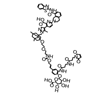 Cc1c(-c2ccc(N3CCc4cccc(C(=O)Nc5nc6ccccc6s5)c4C3)nc2C(=O)O)cnn1CC12CC3(C)CC(C)(C1)CC(OCCOCCNC(=O)OC/C=C/c1ccc(O[C@@H]4O[C@H](C(=O)O)[C@@H](O)[C@H](O)[C@H]4O)c(NC(=O)CCNC(=O)CCN4C(=O)C=CC4=O)c1)(C3)C2